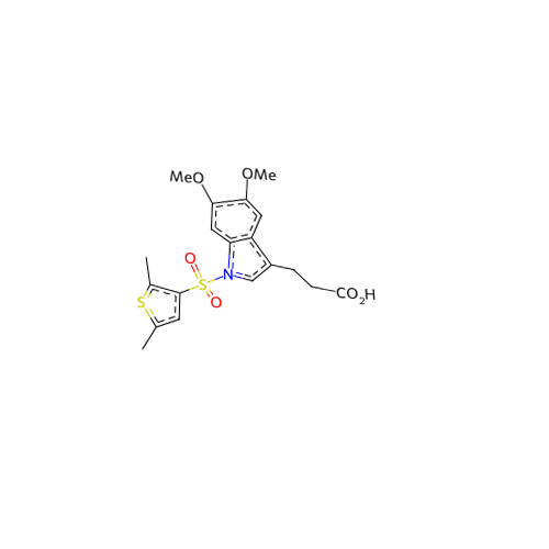 COc1cc2c(CCC(=O)O)cn(S(=O)(=O)c3cc(C)sc3C)c2cc1OC